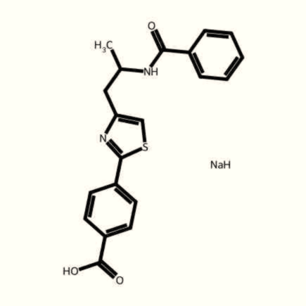 CC(Cc1csc(-c2ccc(C(=O)O)cc2)n1)NC(=O)c1ccccc1.[NaH]